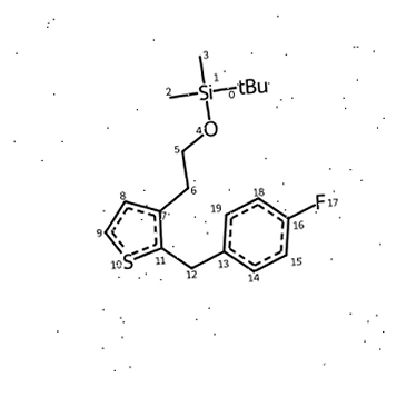 CC(C)(C)[Si](C)(C)OCCc1ccsc1Cc1ccc(F)cc1